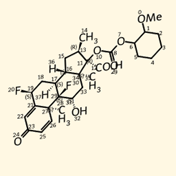 COC1CCCCC1OC(=O)O[C@]1(C(=O)O)[C@H](C)C[C@H]2[C@@H]3C[C@H](F)C4=CC(=O)C=C[C@]4(C)[C@@]3(F)[C@@H](O)C[C@@]21C